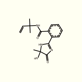 C=CC(C)(C)NC(=O)c1ccccc1C1=NC(=O)C(C)(CCC)N1